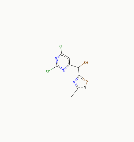 Cc1csc(C(S)c2cc(Cl)nc(Cl)n2)n1